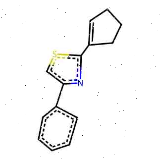 C1=C(c2nc(-c3ccccc3)cs2)CCC1